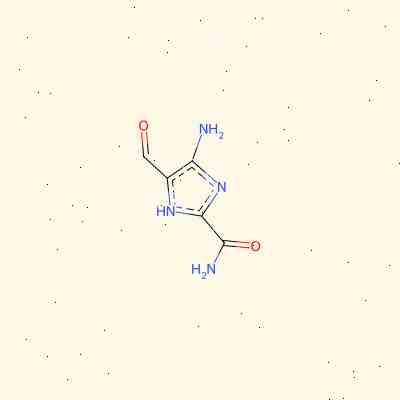 NC(=O)c1nc(N)c(C=O)[nH]1